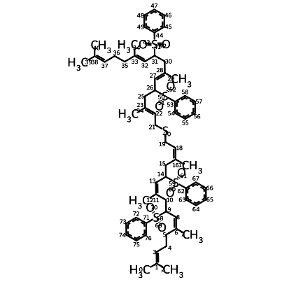 CC(C)=CCCC(C)=CC(CC(C)=CC(CC(C)=CCSCC=C(C)CC(C=C(C)CC(C=C(C)CCC=C(C)C)S(=O)(=O)c1ccccc1)S(=O)(=O)c1ccccc1)S(=O)(=O)c1ccccc1)S(=O)(=O)c1ccccc1